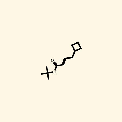 CC(C)(C)OC(=O)/C=C/CC1CCC1